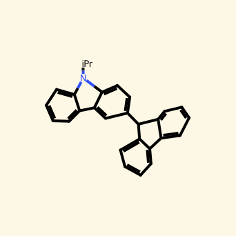 CC(C)n1c2ccccc2c2cc(C3c4ccccc4-c4ccccc43)ccc21